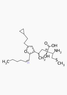 C=C(C[C@](O)(C(=O)O)C(N)CSC)c1cc(CCC2CC2)oc1/C=C\CCCC